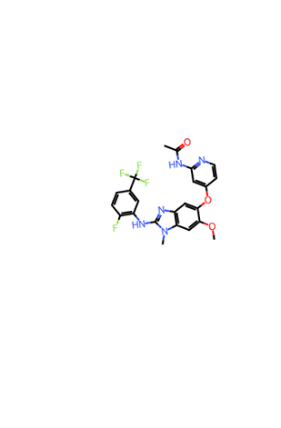 COc1cc2c(cc1Oc1ccnc(NC(C)=O)c1)nc(Nc1cc(C(F)(F)F)ccc1F)n2C